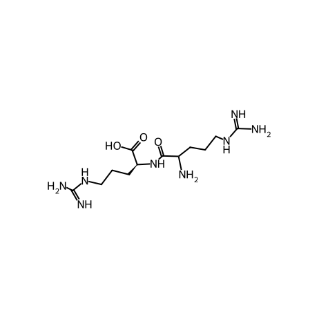 N=C(N)NCCCC(N)C(=O)N[C@@H](CCCNC(=N)N)C(=O)O